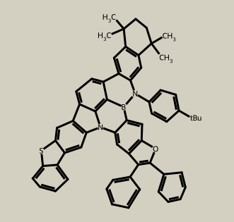 CC(C)(C)c1ccc(N2B3c4cc5oc(-c6ccccc6)c(-c6ccccc6)c5cc4-n4c5cc6c(cc5c5ccc(c3c54)-c3cc4c(cc32)C(C)(C)CCC4(C)C)sc2ccccc26)cc1